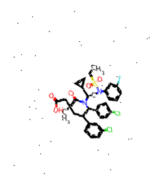 CCS(=O)(=O)N(C[C@H](C1CC1)N1C(=O)[C@@](C)(CC(=O)O)CC(c2cccc(Cl)c2)C1c1ccc(Cl)cc1)c1cccc(F)c1